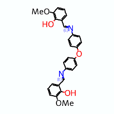 COc1cccc(/C=N/c2ccc(Oc3ccc(/N=C/c4cccc(OC)c4O)cc3)cc2)c1O